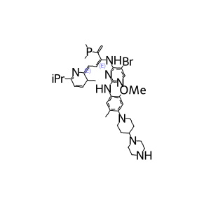 C=C(/C(=C\C=C1\N=C(C(C)C)C=CC1C)Nc1nc(Nc2cc(C)c(N3CCC(N4CCNCC4)CC3)cc2OC)ncc1Br)P(C)C